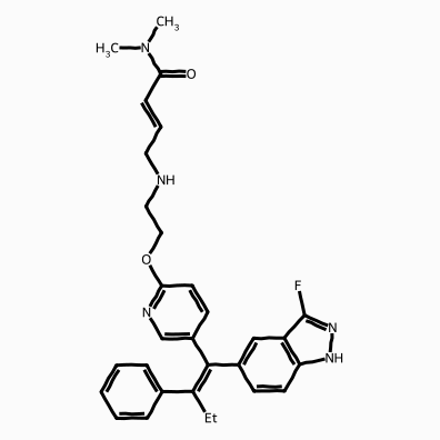 CC/C(=C(/c1ccc(OCCNC/C=C/C(=O)N(C)C)nc1)c1ccc2[nH]nc(F)c2c1)c1ccccc1